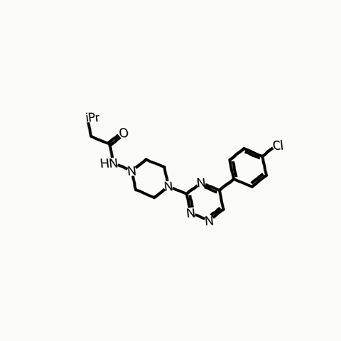 CC(C)CC(=O)NN1CCN(c2nncc(-c3ccc(Cl)cc3)n2)CC1